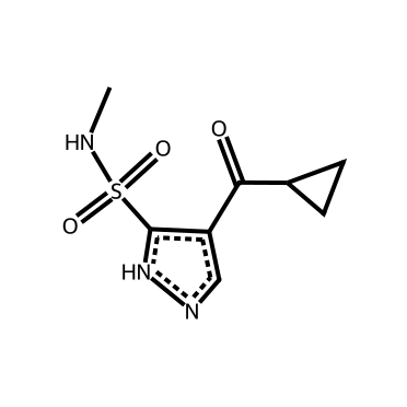 CNS(=O)(=O)c1[nH]ncc1C(=O)C1CC1